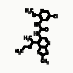 CCOC(C)c1c(NC(=O)Nc2cc(Cl)cnc2OC)cnc2sc(C)nc12